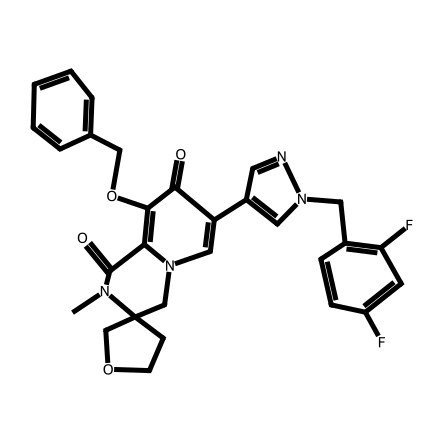 CN1C(=O)c2c(OCc3ccccc3)c(=O)c(-c3cnn(Cc4ccc(F)cc4F)c3)cn2CC12CCOC2